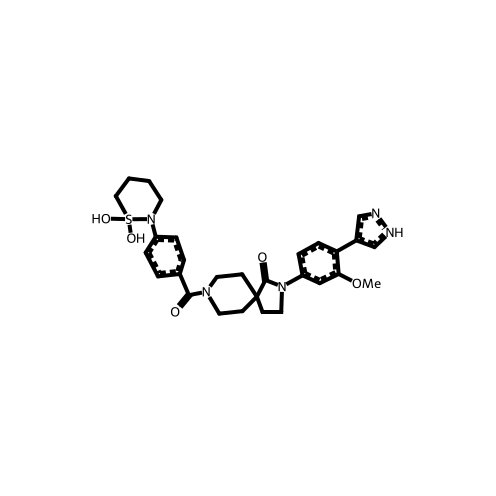 COc1cc(N2CCC3(CCN(C(=O)c4ccc(N5CCCCS5(O)O)cc4)CC3)C2=O)ccc1-c1cn[nH]c1